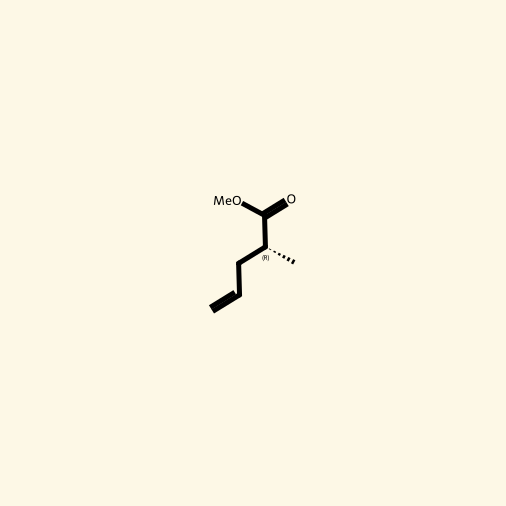 C=CC[C@@H](C)C(=O)OC